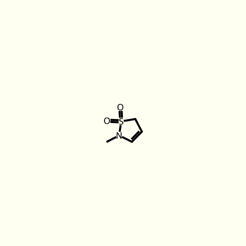 CN1C=CCS1(=O)=O